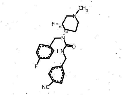 CN1CC[C@H](N(Cc2ccc(F)cc2)C(=O)NCc2ccc(C#N)cc2)[C@H](F)C1